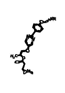 CCCCCCCOc1ccc(-c2ncc(OCC(C)OC(=O)CCOC)cn2)cc1